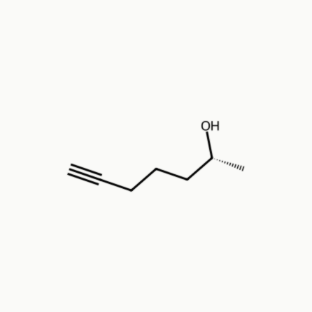 C#CCCC[C@@H](C)O